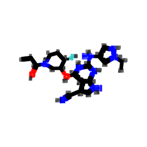 C=CC(=O)N1CC[C@H](F)[C@@H](Oc2nc(Nc3cnn(CC)c3)nc3[nH]cc(C#N)c23)C1